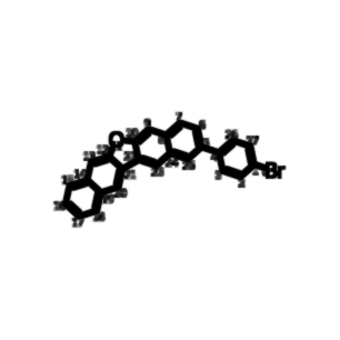 Brc1ccc(-c2ccc3cc4oc5cc6ccccc6cc5c4cc3c2)cc1